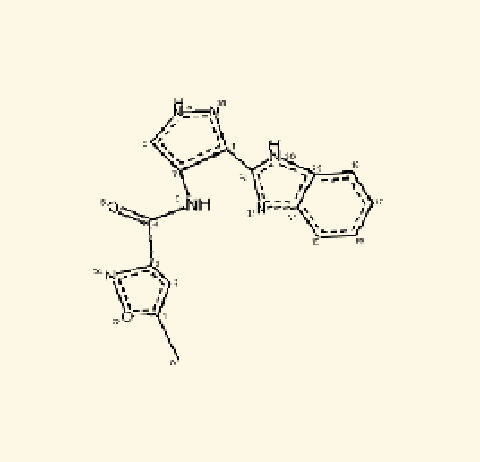 Cc1cc(C(=O)Nc2c[nH]nc2-c2nc3ccccc3[nH]2)no1